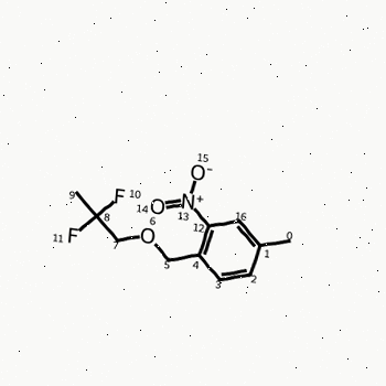 Cc1ccc(COCC(C)(F)F)c([N+](=O)[O-])c1